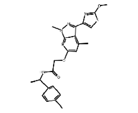 COc1nc(-c2nn(C)c3nc(OCC(=O)NC(C)c4ccc(C)cc4)cc(C)c23)cs1